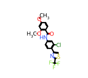 COc1ccc(C(=O)Nc2ccc(-c3csc(C(F)(F)F)n3)c(Cl)c2)c(OC)c1